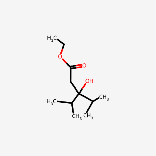 CCOC(=O)CC(O)(C(C)C)C(C)C